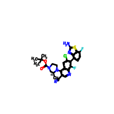 C[C@H]1CN(C(=O)OC(C)(C)C)CCN1c1c(C#N)cnc2c(F)c(-c3ccc(F)c4sc(N)nc34)c(Cl)cc12